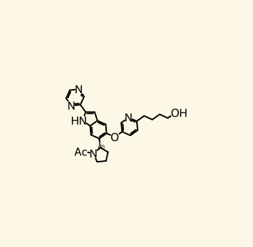 CC(=O)N1CCC[C@@H]1c1cc2[nH]c(-c3cnccn3)cc2cc1Oc1ccc(CCCCO)nc1